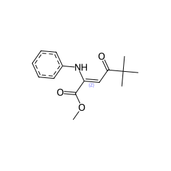 COC(=O)/C(=C/C(=O)C(C)(C)C)Nc1ccccc1